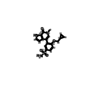 Cn1cc(-c2cc(S(N)(=O)=O)ccc2OCC2CC2)c2cc[nH]c2c1=O